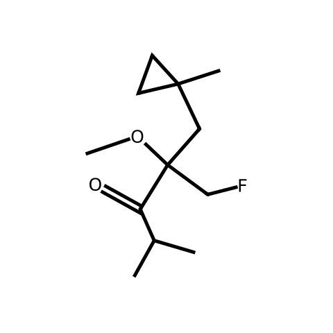 COC(CF)(CC1(C)CC1)C(=O)C(C)C